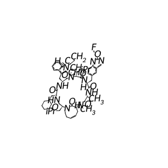 C=CC(C)(C)n1cc(C[C@@H]2NC(=O)[C@H](CC3CCCCC3)NC(=O)[C@H](CC(C)C)N3CC/C=C\C[C@@H](C3=O)N(C)C(=O)[C@H](C)NC(=O)[C@H](Cc3ccc4nc(OCF)ncc4c3)NC(=O)[C@H](CC(C)C)N(C)C2=O)c2ccccc21